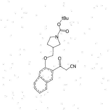 CC(C)(C)OC(=O)N1CCC(COc2cc3ccccc3cc2C(=O)CC#N)C1